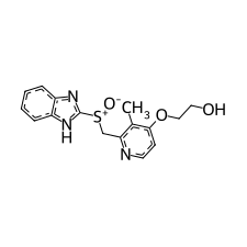 Cc1c(OCCO)ccnc1C[S+]([O-])c1nc2ccccc2[nH]1